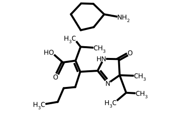 CCCC/C(C1=NC(C)(C(C)C)C(=O)N1)=C(\C(=O)O)C(C)C.NC1CCCCC1